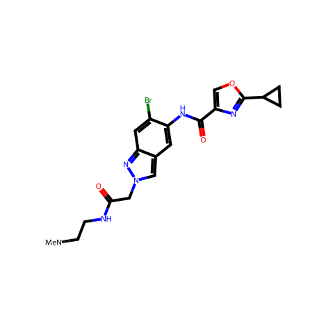 CNCCNC(=O)Cn1cc2cc(NC(=O)c3coc(C4CC4)n3)c(Br)cc2n1